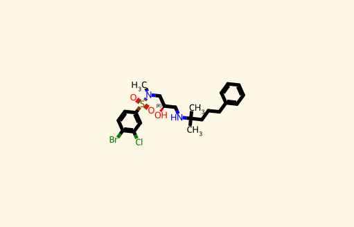 CN(C[C@H](O)CNC(C)(C)CCCc1ccccc1)S(=O)(=O)c1ccc(Br)c(Cl)c1